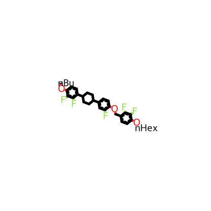 CCCCCCOc1ccc(COc2ccc(C3CCC(c4ccc(OCCCC)c(F)c4F)CC3)cc2F)c(F)c1F